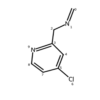 C=NCc1cc(Cl)ccn1